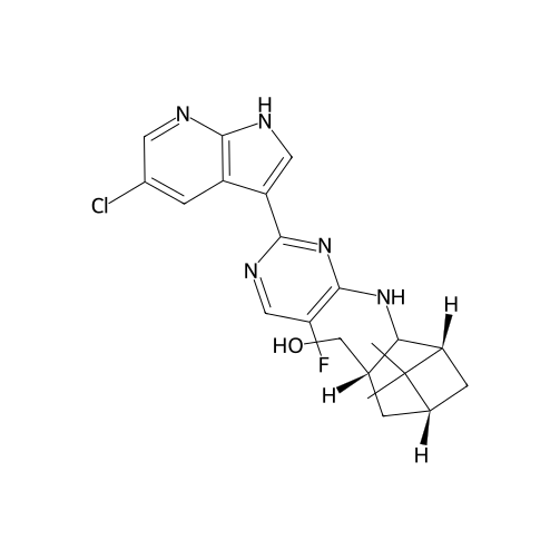 CC1(C)[C@H]2C[C@H](CO)C(Nc3nc(-c4c[nH]c5ncc(Cl)cc45)ncc3F)[C@@H]1C2